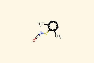 Cc1cccc(C)c1SN=C=O